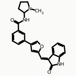 CN1CCCC1NC(=O)c1cccc(-c2coc(/C=C3/C(=O)Nc4ccccc43)c2)c1